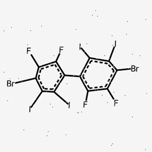 Fc1c(F)c(-c2c(F)c(F)c(Br)c(I)c2I)c(I)c(I)c1Br